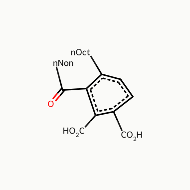 CCCCCCCCCC(=O)c1c(CCCCCCCC)ccc(C(=O)O)c1C(=O)O